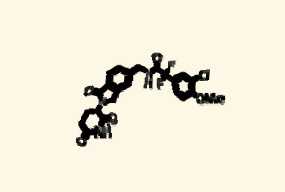 COc1ccc(C(F)(F)C(=O)NCc2ccc3c(c2)CN(C2CCC(=O)NC2=O)C3=O)cc1Cl